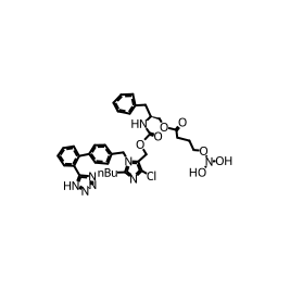 CCCCc1nc(Cl)c(COC(=O)N[C@H](COC(=O)CCCON(O)O)Cc2ccccc2)n1Cc1ccc(-c2ccccc2-c2nnn[nH]2)cc1